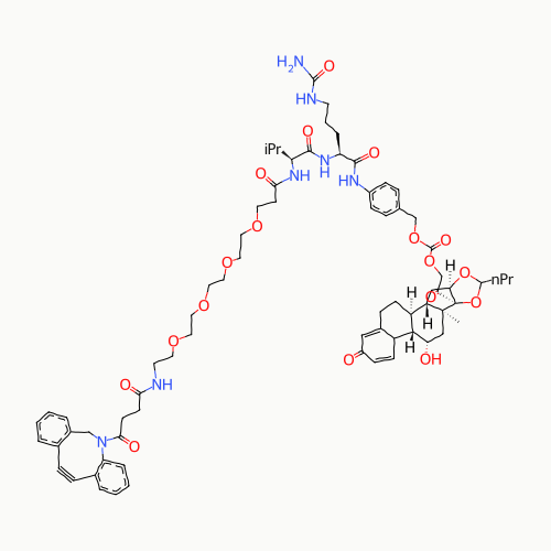 CCCC1O[C@@H]2C[C@H]3[C@@H]4CCC5=CC(=O)C=CC5[C@H]4[C@@H](O)C[C@]3(C)[C@]2(C(=O)COC(=O)OCc2ccc(NC(=O)[C@H](CCCNC(N)=O)NC(=O)[C@@H](NC(=O)CCOCCOCCOCCOCCNC(=O)CCC(=O)N3Cc4ccccc4C#Cc4ccccc43)C(C)C)cc2)O1